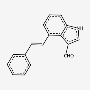 O=Cc1c[nH]c2cccc(C=Cc3ccccc3)c12